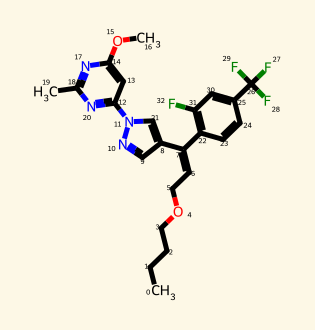 CCCCOC/C=C(\c1cnn(-c2cc(OC)nc(C)n2)c1)c1ccc(C(F)(F)F)cc1F